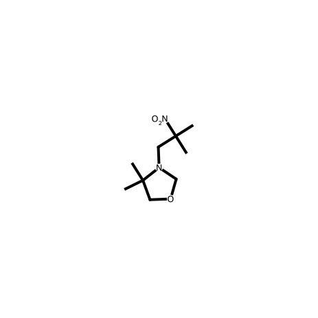 CC1(C)COCN1CC(C)(C)[N+](=O)[O-]